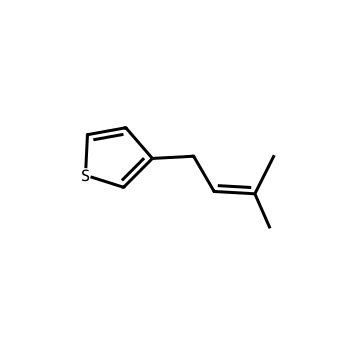 CC(C)=CCc1ccsc1